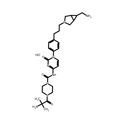 CC(C)(N)C(=O)N1CCN(C(=O)Nc2ccn(-c3ccc(CCCN4CC5C(CN)C5C4)cc3)c(=O)n2)CC1.Cl